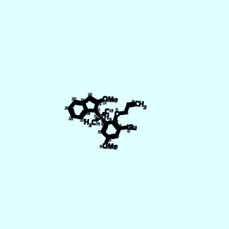 C=CCOc1c(C(C)(C)C)cc(OC)cc1[Si](C)(C)C1C(OC)=Cc2ccccc21